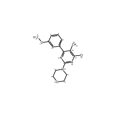 COc1cccc(-c2nc(N3CCOCC3)nc(Cl)c2C)c1